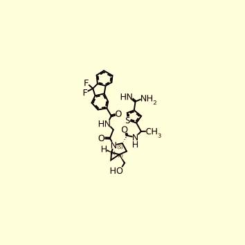 CC(NC(=O)[C@@H]1C[C@]2(CO)C[C@@H]2N1C(=O)CNC(=O)c1ccc2c(c1)-c1ccccc1C2(F)F)c1cc(C(=N)N)cs1